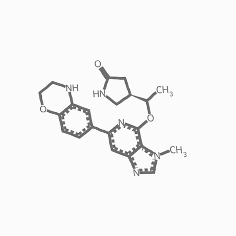 CC(Oc1nc(-c2ccc3c(c2)NCCO3)cc2ncn(C)c12)[C@H]1CNC(=O)C1